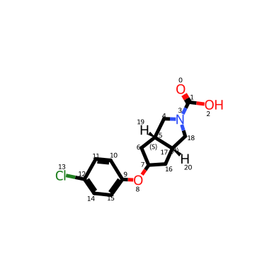 O=C(O)N1C[C@H]2CC(Oc3ccc(Cl)cc3)C[C@H]2C1